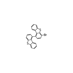 Brc1ccc(-c2cccc3sc4ccccc4c23)c2c1sc1ccccc12